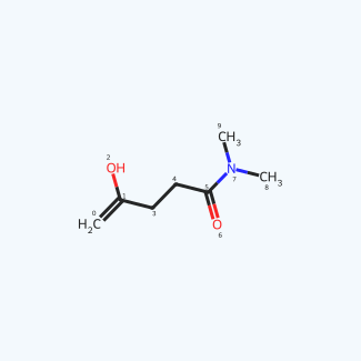 C=C(O)CCC(=O)N(C)C